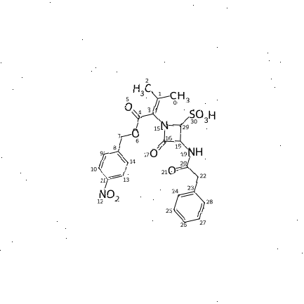 CC(C)=C(C(=O)OCc1ccc([N+](=O)[O-])cc1)N1C(=O)C(NC(=O)Cc2ccccc2)C1S(=O)(=O)O